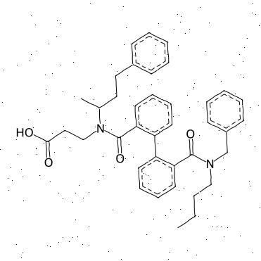 CCCCN(Cc1ccccc1)C(=O)c1ccccc1-c1ccccc1C(=O)N(CCC(=O)O)C(C)CCc1ccccc1